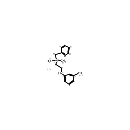 Cc1cccc(NCC[N+](C)(C)Cc2ccccc2)c1.[Cl-]